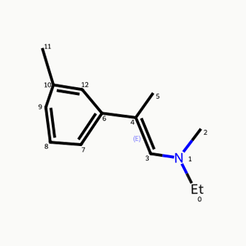 CCN(C)/C=C(\C)c1cccc(C)c1